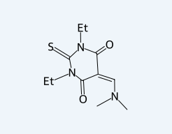 CCN1C(=O)C(=CN(C)C)C(=O)N(CC)C1=S